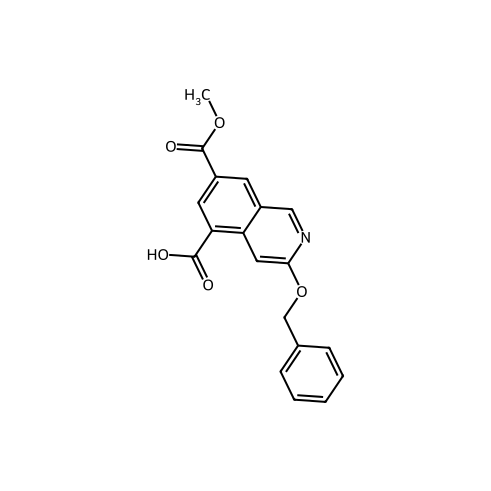 COC(=O)c1cc(C(=O)O)c2cc(OCc3ccccc3)ncc2c1